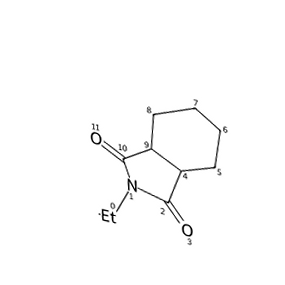 C[CH]N1C(=O)C2CCCCC2C1=O